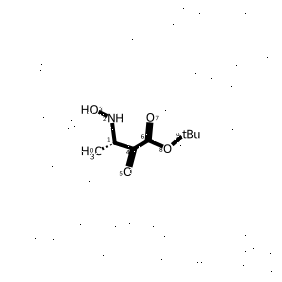 C[C@H](NO)C(=O)C(=O)OC(C)(C)C